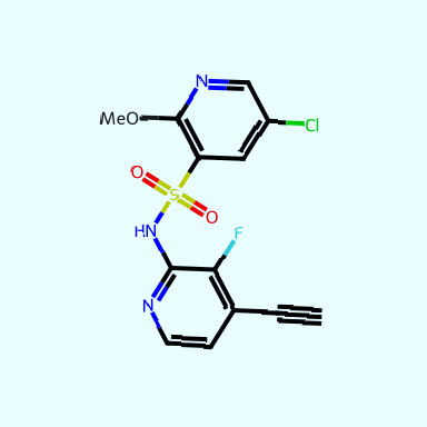 C#Cc1ccnc(NS(=O)(=O)c2cc(Cl)cnc2OC)c1F